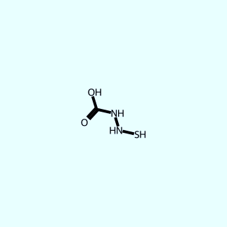 O=C(O)NNS